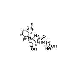 CC1(NC(=O)c2cnc3c(c2)c(C(C)(C)O)nn3-c2cc(OC(F)F)ccc2F)CS(O)(O)C1